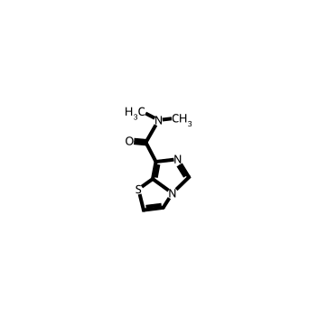 CN(C)C(=O)c1ncn2ccsc12